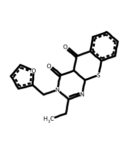 CCC1=NC2Sc3ccccc3C(=O)C2C(=O)N1Cc1ccco1